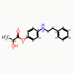 C[C@H](O)C(=O)Oc1ccc(NCCc2ccccc2)cc1